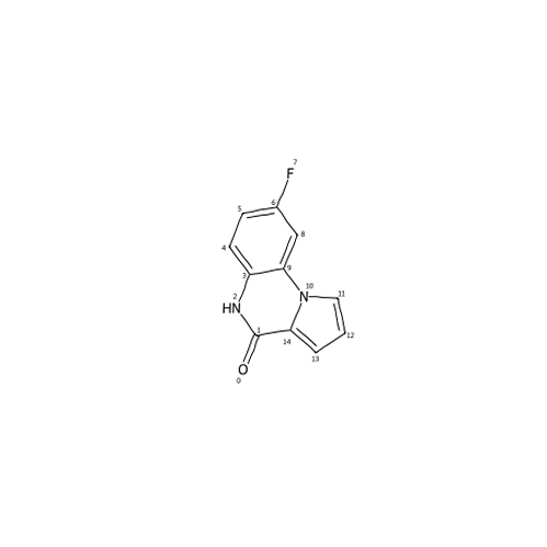 O=c1[nH]c2ccc(F)cc2n2cccc12